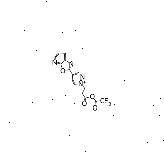 O=C(CC[n+]1ccc(-c2nc3cccnc3o2)cn1)OC(=O)C(F)(F)F